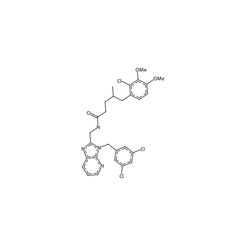 COc1ccc(CC(C)CCC(=O)[N]Cc2nc3cccnc3n2Cc2cc(Cl)cc(Cl)c2)c(Cl)c1OC